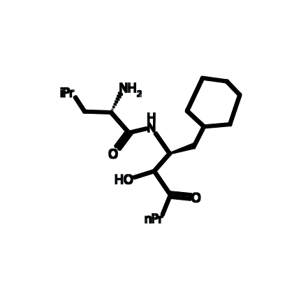 CCCC(=O)C(O)[C@H](CC1CCCCC1)NC(=O)[C@@H](N)CC(C)C